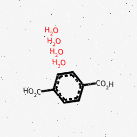 O.O.O.O.O=C(O)c1ccc(C(=O)O)cc1